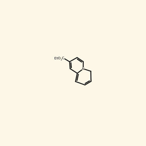 CCOC(=O)C1=CC2=CC=CCN2C=C1